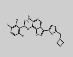 C[C@@H](Oc1c(N)ncc2c(-c3ccc(CN4CCC4)s3)coc12)c1c(Cl)ccc(F)c1Cl